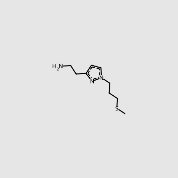 CSCCCn1ccc(CCN)n1